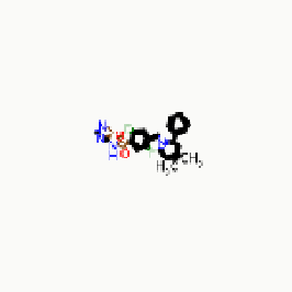 CC1(C)CCN(Cc2cc(F)c(S(=O)(=O)Nc3ncns3)cc2F)C(c2ccccc2)C1